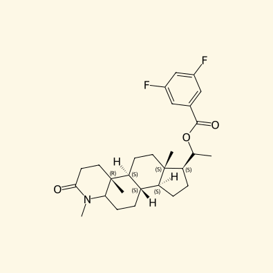 CC(OC(=O)c1cc(F)cc(F)c1)[C@H]1CC[C@H]2[C@@H]3CCC4N(C)C(=O)CC[C@]4(C)[C@H]3CC[C@]12C